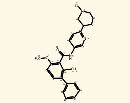 CCN1CCCC(c2ccc(NC(=O)c3c(OC(F)(F)F)ccc(-c4ccccc4)c3C)cn2)C1